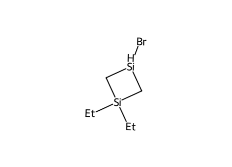 CC[Si]1(CC)C[SiH](Br)C1